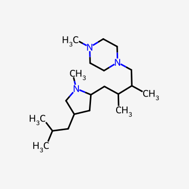 CC(C)CC1CC(CC(C)C(C)CN2CCN(C)CC2)N(C)C1